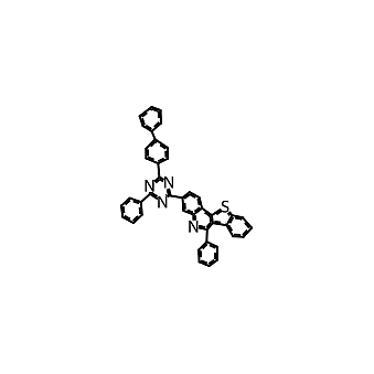 c1ccc(-c2ccc(-c3nc(-c4ccccc4)nc(-c4ccc5c(c4)nc(-c4ccccc4)c4c6ccccc6sc54)n3)cc2)cc1